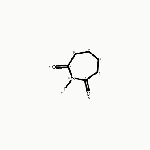 O=C1CCCCC(=O)N1I